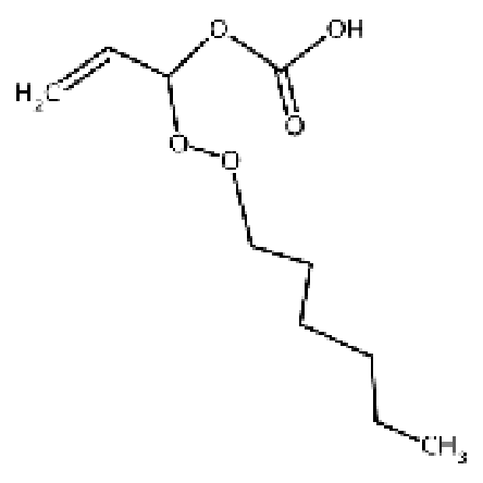 C=CC(OOCCCCCC)OC(=O)O